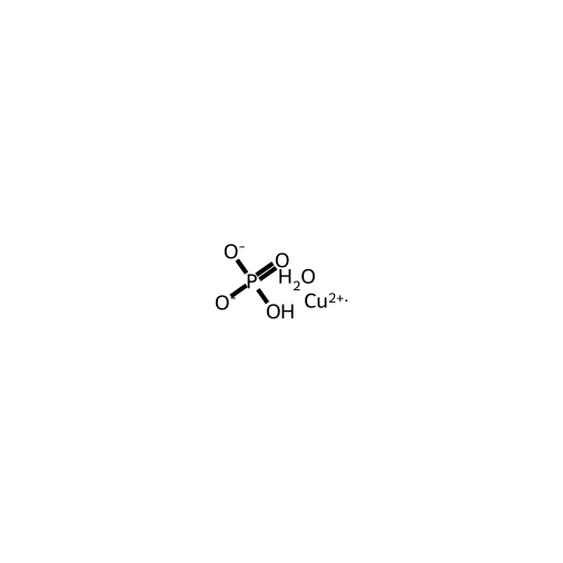 O.O=P([O-])([O-])O.[Cu+2]